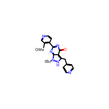 COc1cnccc1-c1nc2n(C(C)(C)C)[nH]c(Cc3ccncc3)c-2c(=O)n1